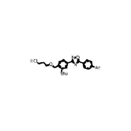 CC(=O)c1ccc(-c2nc(-c3ccc(COCCCO)c(C(C)(C)C)c3)no2)cc1